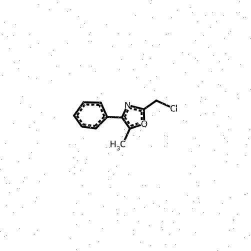 Cc1oc(CCl)nc1-c1ccccc1